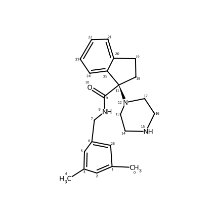 Cc1cc(C)cc(CNC(=O)[C@@]2(N3CCNCC3)CCc3ccccc32)c1